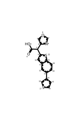 O=C(O)C(c1cocn1)c1cc2cc(-c3ccsc3)ccc2s1